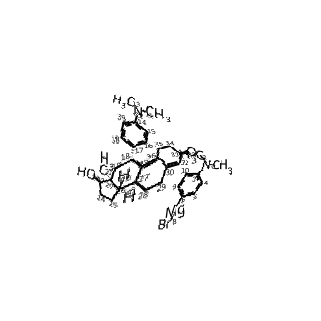 CN(C)c1cc[c]([Mg][Br])cc1.CN(C)c1ccc([C@H]2C[C@]3(C)C(O)CC[C@H]3[C@@H]3CCC4=CC(=O)CCC4=C32)cc1